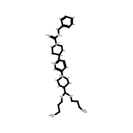 CCCCOC(OCCCC)C1CCN(c2ccc(C3CCN(C(=O)OCc4ccccc4)CC3)nc2)CC1